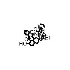 C#Cc1ccc2c3c(c([C@H](C)NC(=O)c4c(NS(=O)(=O)NCC)nn5cccnc45)n(-c4ccccc4)c(=O)c13)CCCC2